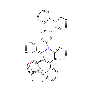 c1ccc(-c2ccccc2-c2cccc(N(c3ccccc3-c3cc4ccccc4c4ccccc34)c3cc4c5ccccc5oc4c4ccccc34)c2)cc1